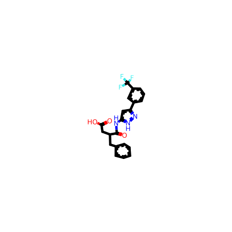 O=C(O)CC(Cc1ccccc1)C(=O)Nc1cc(-c2cccc(C(F)(F)F)c2)n[nH]1